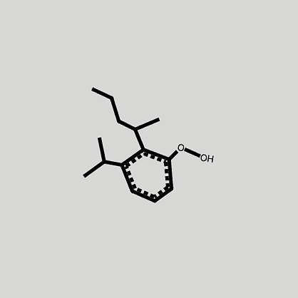 CCCC(C)c1c(OO)cccc1C(C)C